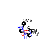 COc1ccc(CNc2cccc(S(=O)(=O)NC(=O)c3cccnc3N3CC(C)CC3(C)C)n2)cc1